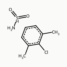 Cc1cccc(C)c1Cl.N[SH](=O)=O